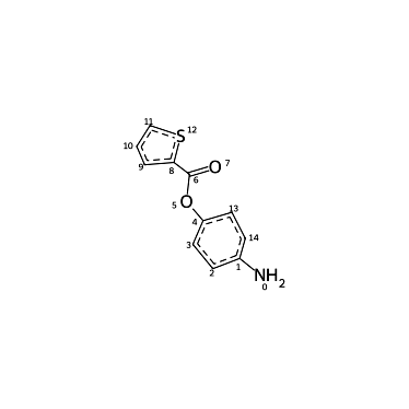 Nc1ccc(OC(=O)c2cccs2)cc1